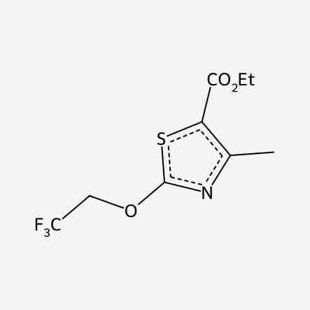 CCOC(=O)c1sc(OCC(F)(F)F)nc1C